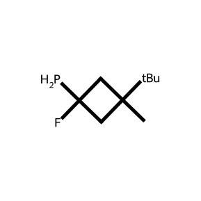 CC(C)(C)C1(C)CC(F)(P)C1